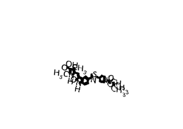 Cc1[nH]c(/C=C2\C(=O)Nc3ccc(-c4csc(C5CCN(C(=O)OC(C)(C)C)CC5)n4)cc32)c(C)c1C(=O)O